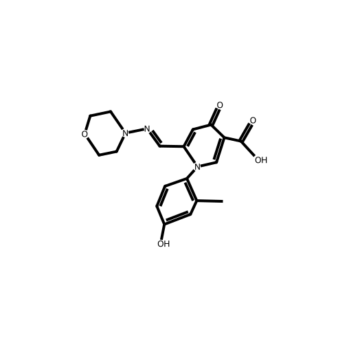 Cc1cc(O)ccc1-n1cc(C(=O)O)c(=O)cc1C=NN1CCOCC1